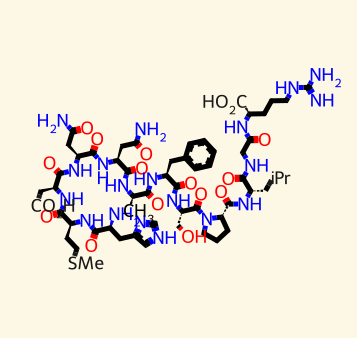 CSCC[C@H](NC(=O)[C@@H](N)Cc1c[nH]cn1)C(=O)N[C@@H](CC(=O)O)C(=O)N[C@@H](CC(N)=O)C(=O)N[C@@H](CC(N)=O)C(=O)N[C@@H](C)C(=O)N[C@@H](Cc1ccccc1)C(=O)N[C@@H](CO)C(=O)N1CCC[C@H]1C(=O)N[C@@H](CC(C)C)C(=O)NCC(=O)N[C@@H](CCCNC(=N)N)C(=O)O